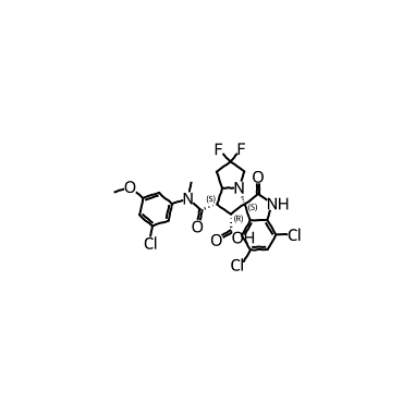 COc1cc(Cl)cc(N(C)C(=O)[C@@H]2C3CC(F)(F)CN3[C@@]3(C(=O)Nc4c(Cl)cc(Cl)cc43)[C@@H]2C(=O)O)c1